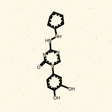 O=c1nc(NNc2ccccc2)ncn1-c1ccc(O)c(O)c1